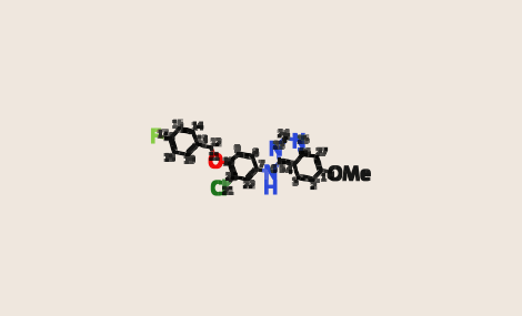 COc1[c]cc2c(Nc3ccc(OCc4ccc(F)cc4)c(Cl)c3)ncnc2c1